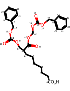 O=C(O)CCCCCCC(COC(=O)OCc1ccccc1)C(=O)OCOC(=O)OCc1ccccc1